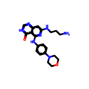 NCCCNc1cc2nc[nH]c(=O)c2c(Nc2ccc(N3CCOCC3)cc2)n1